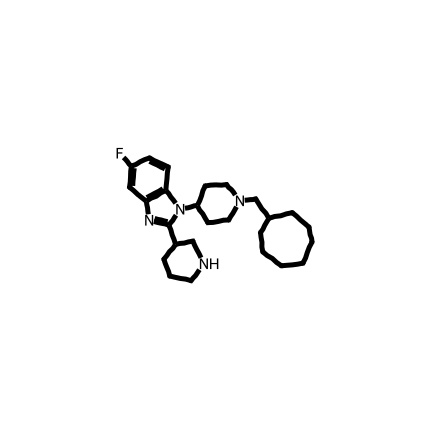 Fc1ccc2c(c1)nc(C1CCCNC1)n2C1CCN(CC2CCCCCCC2)CC1